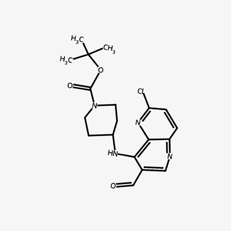 CC(C)(C)OC(=O)N1CCC(Nc2c(C=O)cnc3ccc(Cl)nc23)CC1